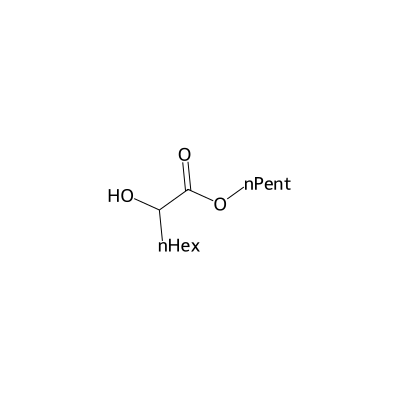 CCCCCCC(O)C(=O)OCCCCC